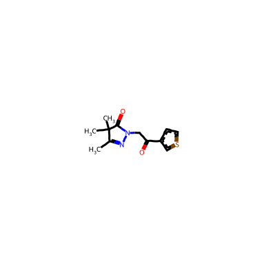 CC1=NN(CC(=O)c2ccsc2)C(=O)C1(C)C